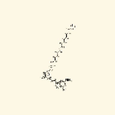 Nc1nc(Br)c2ncn(CCOCP(=O)(O)OCCOCCCCCCCCCCCCCCCCCC(F)(F)F)c2n1